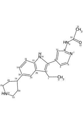 CCc1c(-c2ccnc(NC(C)=O)c2)[nH]c2ccc(C3CCNCC3)cc12